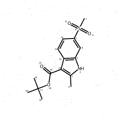 Cc1[nH]c2cc(S(C)(=O)=O)ccc2c1C(=O)OC(C)(C)C